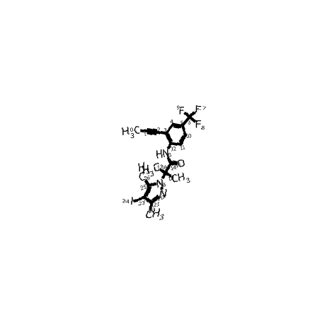 CC#Cc1cc(C(F)(F)F)ccc1NC(=O)C(C)(C)n1nc(C)c(I)c1C